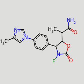 Cc1cn(-c2ccc(C3C(C(C)C(N)=O)OC(=O)N3F)cc2)cn1